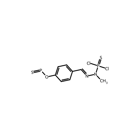 CN(/N=C/c1ccc(OP=S)cc1)P(=S)(Cl)Cl